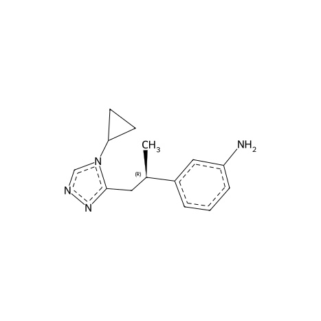 C[C@H](Cc1nncn1C1CC1)c1cccc(N)c1